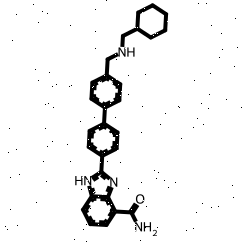 NC(=O)c1cccc2[nH]c(-c3ccc(-c4ccc(CNCC5CCCCC5)cc4)cc3)nc12